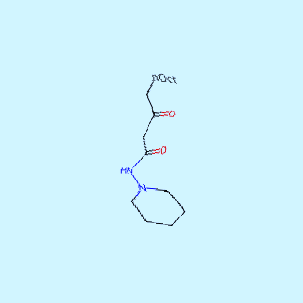 CCCCCCCCCC(=O)CC(=O)NN1CCCCC1